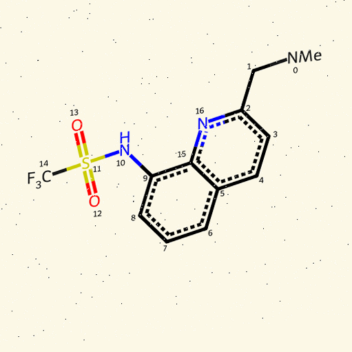 CNCc1ccc2cccc(NS(=O)(=O)C(F)(F)F)c2n1